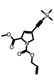 C=CCOC(=O)N1CC(C#C[Si](C)(C)C)=CC1C(=O)OC